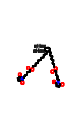 CCCCCCC1CCC(CCCCCCCCOC(=O)CCCCCN2C(=O)C=CC2=O)C(CCCCCCCCCCOC(=O)CCCCCN2C(=O)C=CC2=O)C1CCCCCC